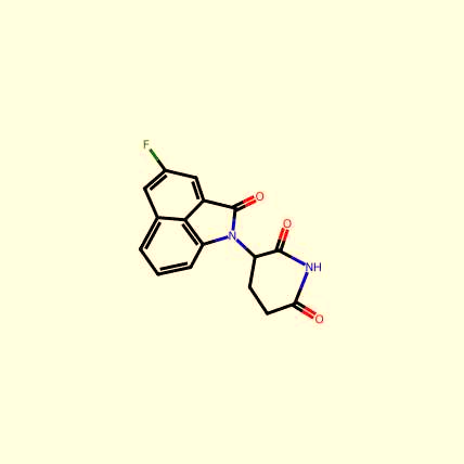 O=C1CCC(N2C(=O)c3cc(F)cc4cccc2c34)C(=O)N1